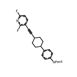 CCCCCc1ccc(C2CCC(C#Cc3ccc(F)nc3F)CC2)cc1